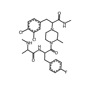 CNC(=O)C(Cc1ccc(Cl)c(Cl)c1)N1CCN(C(=O)C(Cc2ccc(F)cc2)NC(=O)C(C)NC)C(C)C1